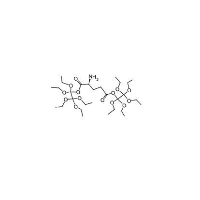 CCOC(OCC)(OCC)C(OCC)(OCC)OC(=O)CC[C@H](N)C(=O)OC(OCC)(OCC)C(OCC)(OCC)OCC